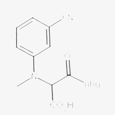 CCCCC(=O)C(C(=O)O)N(C)c1cccc(C#N)c1